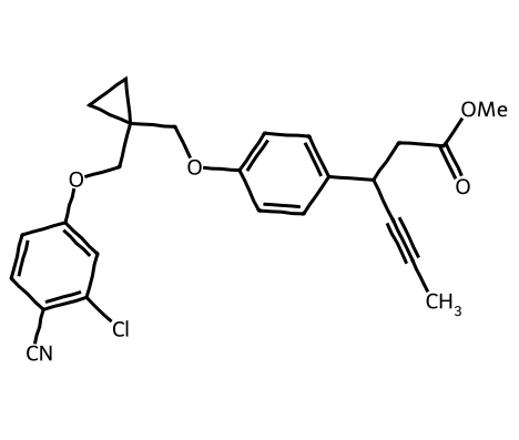 CC#CC(CC(=O)OC)c1ccc(OCC2(COc3ccc(C#N)c(Cl)c3)CC2)cc1